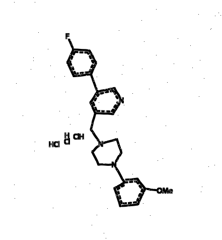 COc1cccc(N2CCN(Cc3cncc(-c4ccc(F)cc4)c3)CC2)c1.Cl.Cl.Cl